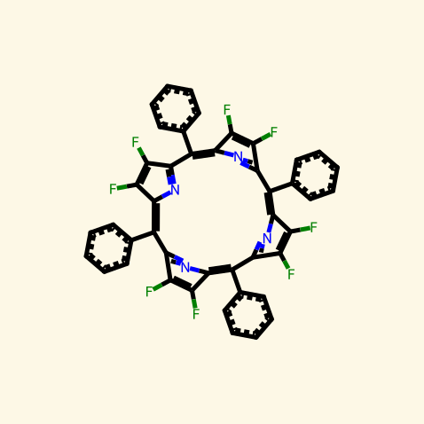 FC1=C(F)C2=C(c3ccccc3)C3=NC(=C(c4ccccc4)C4=NC(=C(c5ccccc5)C5=NC(=C(c6ccccc6)C1=N2)C(F)=C5F)C(F)=C4F)C(F)=C3F